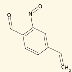 C=Cc1ccc(C=O)c(N=O)c1